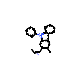 C/C=C\c1cc2c(cc1C)c1ccccc1n2-c1ccccc1